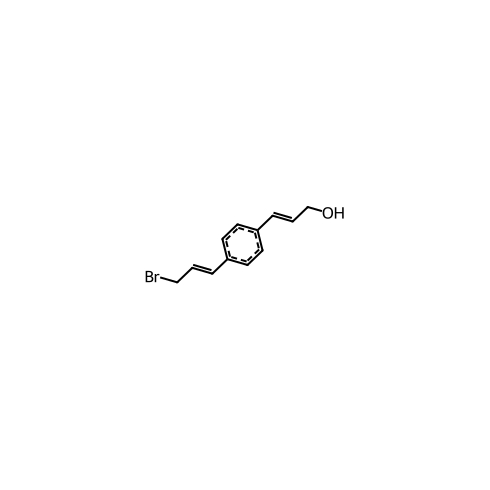 OCC=Cc1ccc(/C=C/CBr)cc1